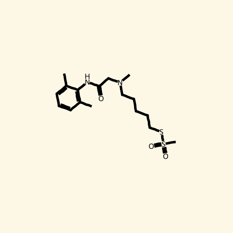 Cc1cccc(C)c1NC(=O)CN(C)CCCCCSS(C)(=O)=O